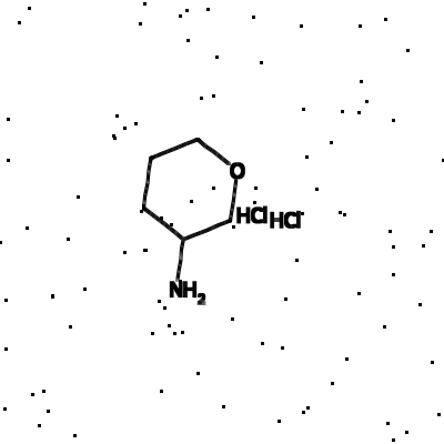 Cl.Cl.NC1CCCOC1